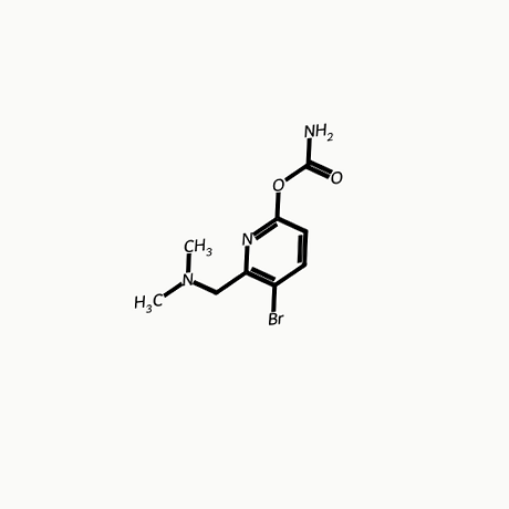 CN(C)Cc1nc(OC(N)=O)ccc1Br